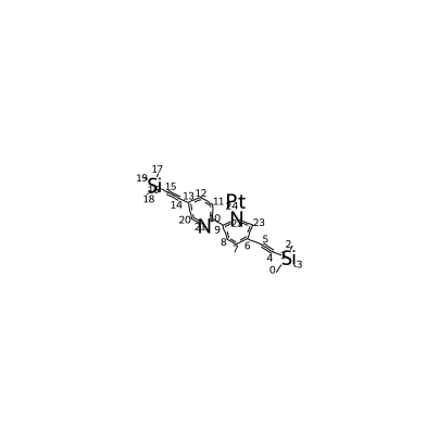 C[Si](C)(C)C#Cc1ccc(-c2ccc(C#C[Si](C)(C)C)cn2)nc1.[Pt]